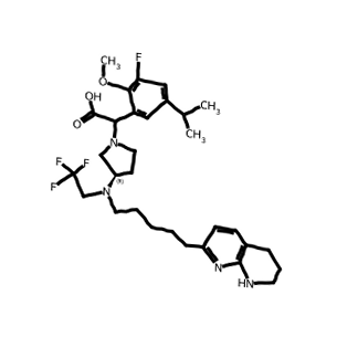 COc1c(F)cc(C(C)C)cc1C(C(=O)O)N1CC[C@@H](N(CCCCCc2ccc3c(n2)NCCC3)CC(F)(F)F)C1